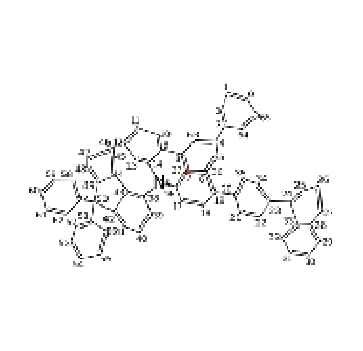 c1ccc(-c2cccc(-c3ccccc3N(c3ccc(-c4ccc(-c5cccc6ccccc56)cc4)cc3)c3cccc4c3-c3ccccc3C4(c3ccccc3)c3ccccc3)c2)cc1